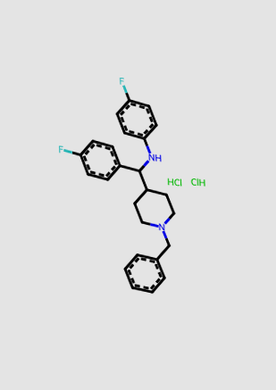 Cl.Cl.Fc1ccc(NC(c2ccc(F)cc2)C2CCN(Cc3ccccc3)CC2)cc1